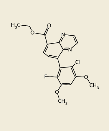 CCOC(=O)c1ccc(-c2c(F)c(OC)cc(OC)c2Cl)c2nccnc12